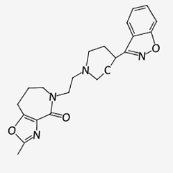 Cc1nc2c(o1)CCCN(CCN1CCC(c3noc4ccccc34)CC1)C2=O